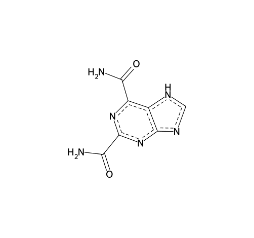 NC(=O)c1nc(C(N)=O)c2[nH]cnc2n1